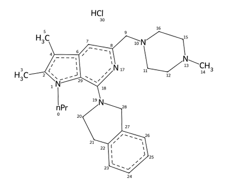 CCCn1c(C)c(C)c2cc(CN3CCN(C)CC3)nc(N3CCc4ccccc4C3)c21.Cl